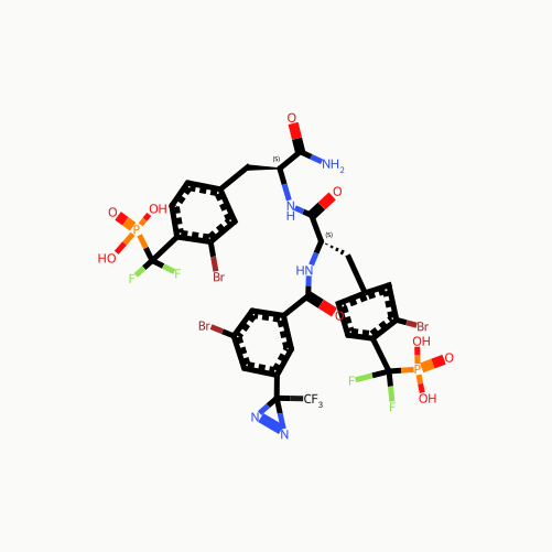 NC(=O)[C@H](Cc1ccc(C(F)(F)P(=O)(O)O)c(Br)c1)NC(=O)[C@H](Cc1ccc(C(F)(F)P(=O)(O)O)c(Br)c1)NC(=O)c1cc(Br)cc(C2(C(F)(F)F)N=N2)c1